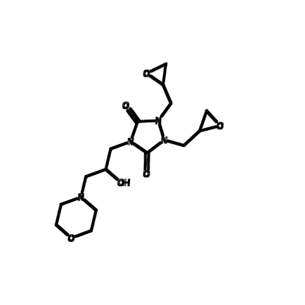 O=c1n(CC(O)CN2CCOCC2)c(=O)n(CC2CO2)n1CC1CO1